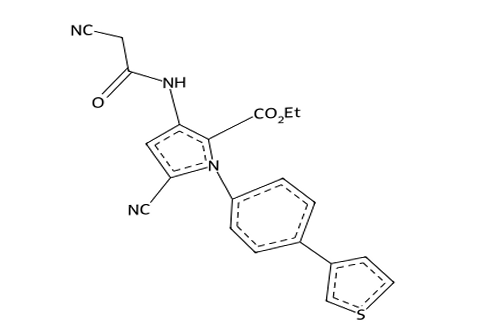 CCOC(=O)c1c(NC(=O)CC#N)cc(C#N)n1-c1ccc(-c2ccsc2)cc1